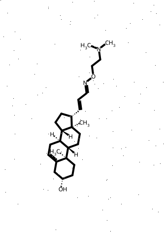 CN(C)CCO/N=C/C=C/[C@H]1CC[C@H]2[C@@H]3CC=C4C[C@@H](O)CC[C@]4(C)[C@H]3CC[C@]12C